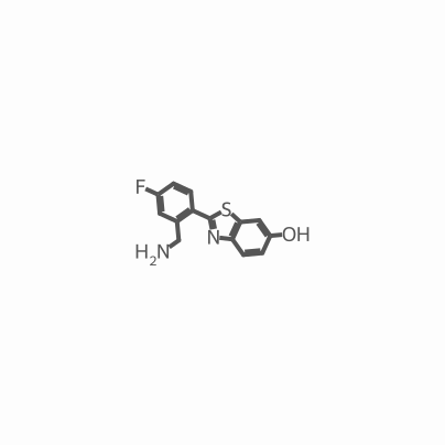 NCc1cc(F)ccc1-c1nc2ccc(O)cc2s1